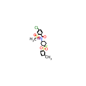 Cc1cccc(S(=O)(=O)C2(F)CCC(NC(=O)c3ccc(Cl)cc3S(C)(=O)=O)CC2)c1